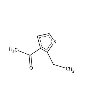 CCc1sccc1C(C)=O